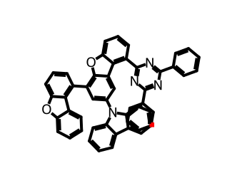 c1ccc(-c2nc(-c3ccccc3)nc(-c3cccc4oc5c(-c6cccc7oc8ccccc8c67)cc(-n6c7ccccc7c7ccccc76)cc5c34)n2)cc1